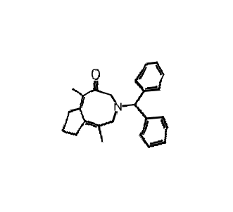 CC1=C2CCCC2=C(C)C(=O)CN(C(c2ccccc2)c2ccccc2)C1